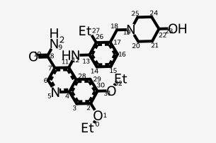 CCOc1cc2ncc(C(N)=O)c(Nc3cccc(CN4CCC(O)CC4)c3CC)c2cc1OCC